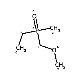 CCP(C)(=O)COC